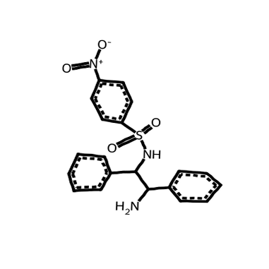 NC(c1ccccc1)C(NS(=O)(=O)c1ccc([N+](=O)[O-])cc1)c1ccccc1